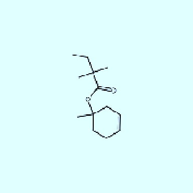 CCC(C)(C)C(=O)OC1(C)CC=CCC1